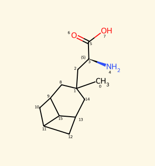 CC1(C[C@H](N)C(=O)O)CC2CC3CC(C1)C32